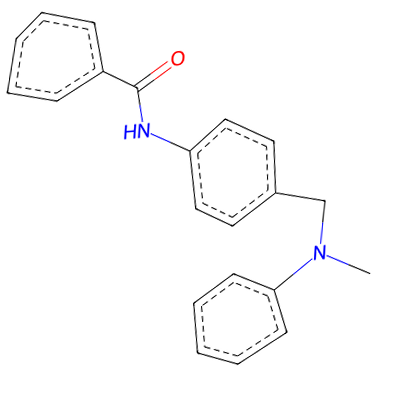 CN(Cc1ccc(NC(=O)c2ccccc2)cc1)c1ccccc1